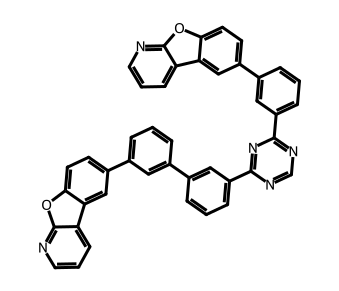 c1cc(-c2cccc(-c3ncnc(-c4cccc(-c5ccc6oc7ncccc7c6c5)c4)n3)c2)cc(-c2ccc3oc4ncccc4c3c2)c1